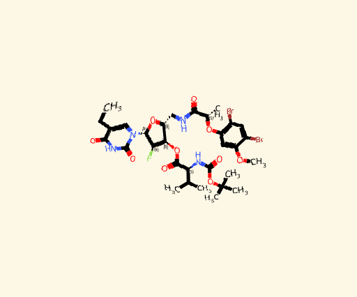 CCc1cn([C@@H]2O[C@H](CNC(=O)[C@H](C)Oc3cc(OC)c(Br)cc3Br)[C@@H](OC(=O)[C@@H](NC(=O)OC(C)(C)C)C(C)C)[C@H]2F)c(=O)[nH]c1=O